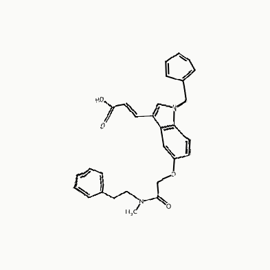 CN(CCc1ccccc1)C(=O)COc1ccc2c(c1)c(C=CC(=O)O)cn2Cc1ccccc1